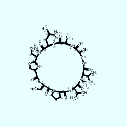 C/C=C1\NC(=O)C2CSC(=N2)C(CC)N(C)C(=O)C(CC(C)C)NC(=O)C(C)NC(=O)C(O)COC(=O)C(C(C)C)N(C)C(=O)C(C(C)O)NC(=O)C2CCCN2C1=O